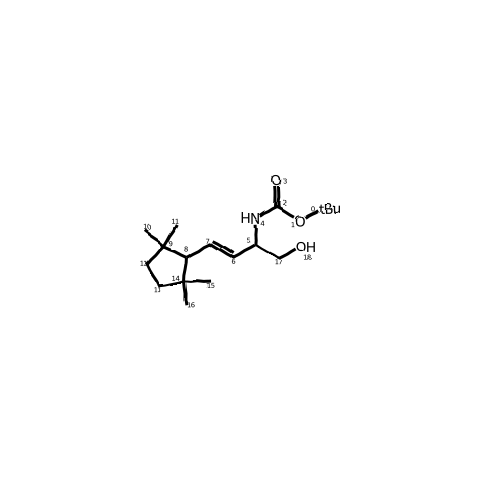 CC(C)(C)OC(=O)NC(C=CC1C(C)(C)CCC1(C)C)CO